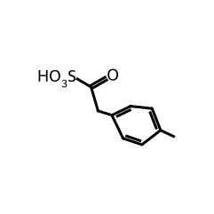 Cc1ccc(CC(=O)S(=O)(=O)O)cc1